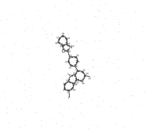 Cc1ccc2sc3c(-c4ccc(-c5nc6ccccc6o5)cc4)cc(C)cc3c2c1